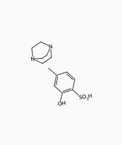 C1CN2CCN1CC2.Cc1ccc(S(=O)(=O)O)c(O)c1